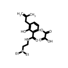 C=C(C)Cc1cccc(C(=O)NCCN(CC)CC)c1O.O=C(O)C(=O)O